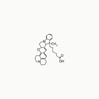 CC1(CCCCCC(=O)O)c2ccccc2N2CCC3Oc4c(cc5c6c4CCCN6CCC5)C=C3C21